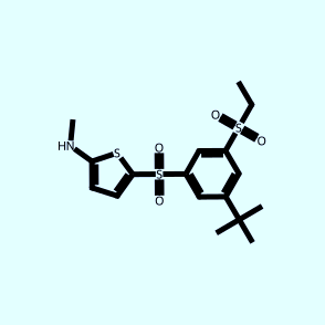 CCS(=O)(=O)c1cc(C(C)(C)C)cc(S(=O)(=O)c2ccc(NC)s2)c1